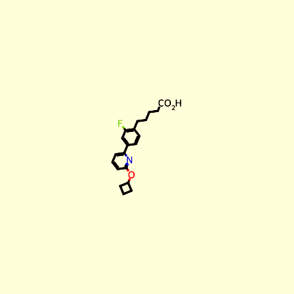 O=C(O)CCCCc1ccc(-c2cccc(OC3CCC3)n2)cc1F